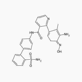 CC1=C(N)C(=NO)CC=C1c1ncccc1C(=O)Nc1ccc(-c2ccccc2S(N)(=O)=O)cc1